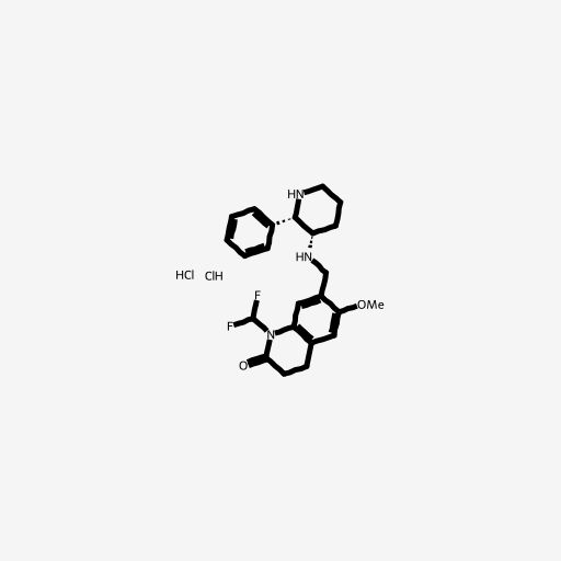 COc1cc2c(cc1CN[C@H]1CCCN[C@H]1c1ccccc1)N(C(F)F)C(=O)CC2.Cl.Cl